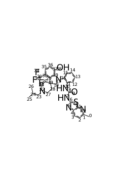 Cc1ccc2nc(NC(=O)Nc3ccccc3N3CC4(CCN(CC(C)C)CC4)c4c(C(F)(F)F)ccc(O)c43)sc2n1